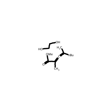 CCCCC(C)=C=C(C)C(=O)OC.OCCO